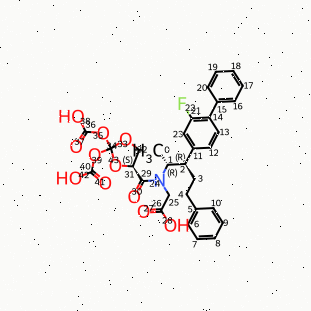 C[C@H]([C@H](CCc1ccccc1)c1ccc(-c2ccccc2)c(F)c1)N(CC(=O)O)C(=O)[C@@H]1COC(OC(=O)O)(OC(=O)O)O1